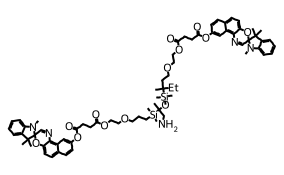 CCC(C)(CCOCCOC(=O)CCC(=O)Oc1ccc2ccc3c(c2c1)N=CC1(O3)N(C)c2ccccc2C1(C)C)[Si](C)(C)OC(C)(CN)[Si](C)(C)CCCOCCOC(=O)CCC(=O)Oc1ccc2ccc3c(c2c1)N=CC1(O3)N(C)c2ccccc2C1(C)C